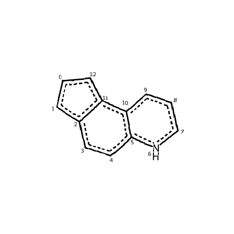 c1cc2ccc3[nH]cccc3c2c1